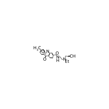 C#CCN(CC)CCNC(=O)c1ccc(C(=O)c2ccc(C)cc2)c([N+](=O)[O-])c1